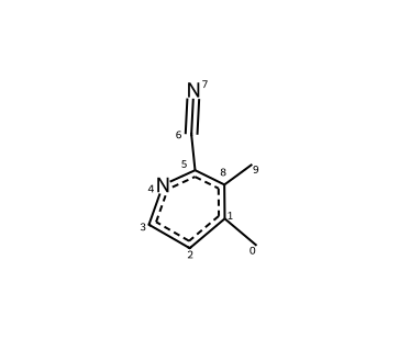 Cc1ccnc(C#N)c1C